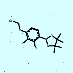 CC1(C)OB(c2ccc(OCC#N)c(F)c2Cl)OC1(C)C